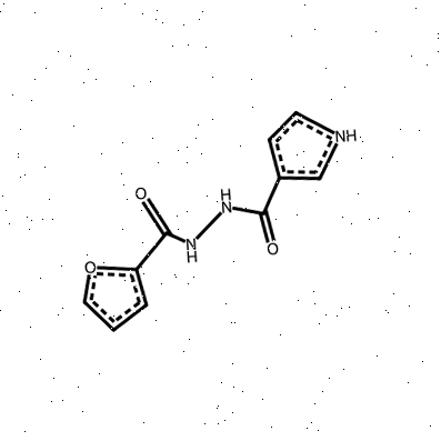 O=C(NNC(=O)c1ccco1)c1cc[nH]c1